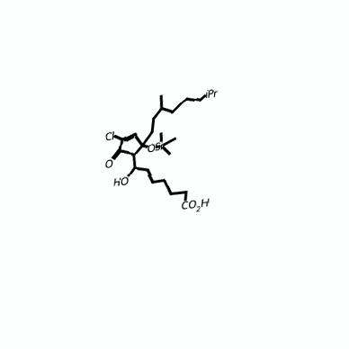 CC(C)CCCC(C)CCC1(O[Si](C)(C)C)C=C(Cl)C(=O)C1C(O)CCCCCC(=O)O